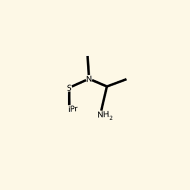 CC(C)SN(C)C(C)N